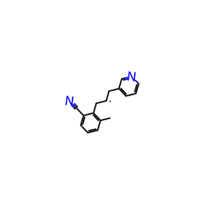 Cc1cccc(C#N)c1C[CH]Cc1cccnc1